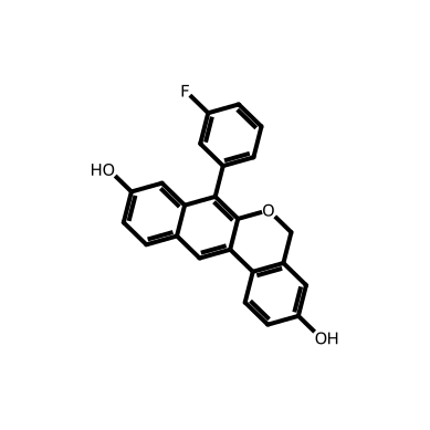 Oc1ccc2c(c1)COc1c-2cc2ccc(O)cc2c1-c1cccc(F)c1